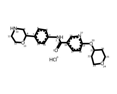 Cl.O=C(Nc1ccc(C2CNCCO2)cc1)c1ccc(OC2CCOCC2)nc1